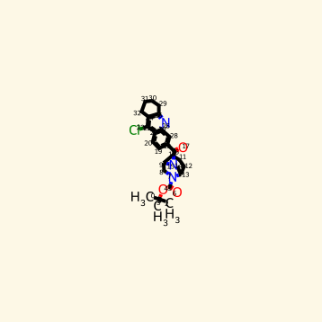 CC(C)(C)OC(=O)N1CC2CCCC1CN2C(=O)c1ccc2c(Cl)c3c(nc2c1)CCCC3